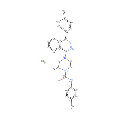 CC1CN(c2nnc(-c3ccc(C(F)(F)F)cc3)c3ccccc23)CCN1C(=O)Nc1ccc(C#N)cc1.Cl